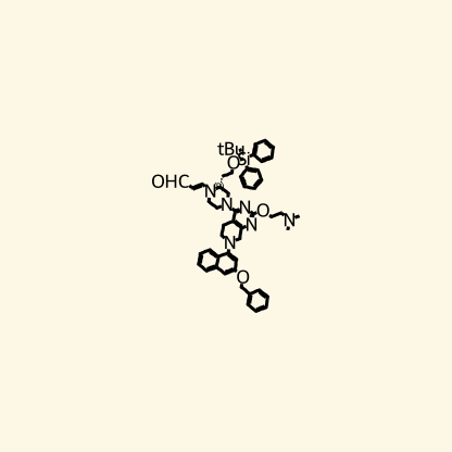 CN(C)CCOc1nc2c(c(N3CCN(C=CC=O)[C@H](CCO[Si](c4ccccc4)(c4ccccc4)C(C)(C)C)C3)n1)CCN(c1cc(OCc3ccccc3)cc3ccccc13)C2